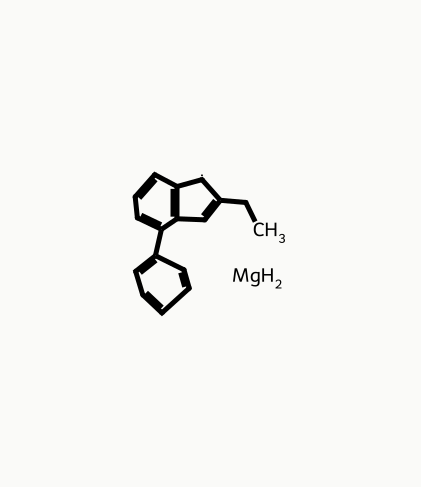 CCC1=Cc2c(cccc2-c2ccccc2)[CH]1.[MgH2]